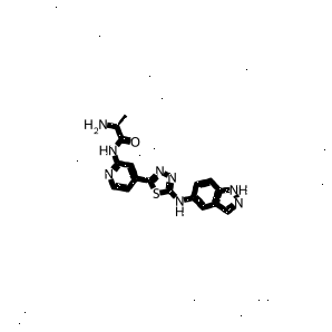 C[C@H](N)C(=O)Nc1cc(-c2nnc(Nc3ccc4[nH]ncc4c3)s2)ccn1